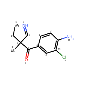 CCC(C=N)(CC(C)C)C(=O)c1ccc(N)c(Cl)c1